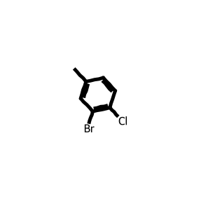 Cc1ccc(Cl)c(Br)c1